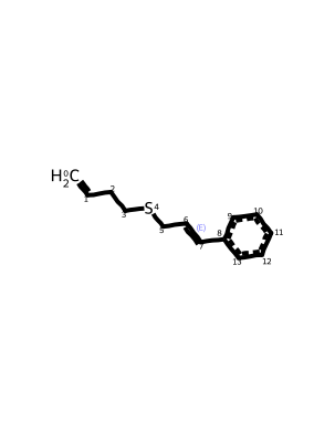 C=CCCSC/C=C/c1ccccc1